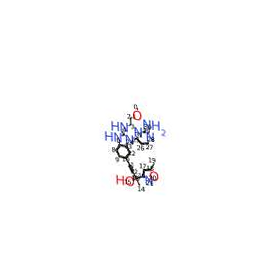 COCCNC1Nc2ccc(C#C[C@@](C)(O)c3cc(C)on3)cc2N1c1ccnc(N)n1